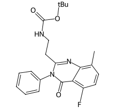 Cc1ccc(F)c2c(=O)n(-c3ccccc3)c(CCNC(=O)OC(C)(C)C)nc12